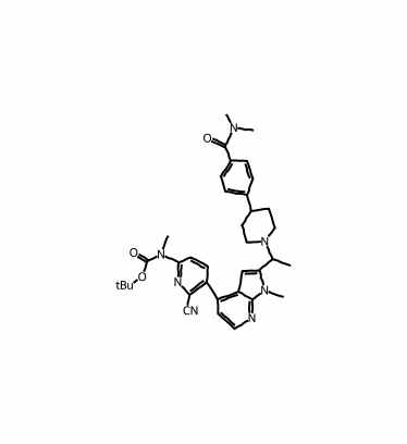 CC(c1cc2c(-c3ccc(N(C)C(=O)OC(C)(C)C)nc3C#N)ccnc2n1C)N1CCC(c2ccc(C(=O)N(C)C)cc2)CC1